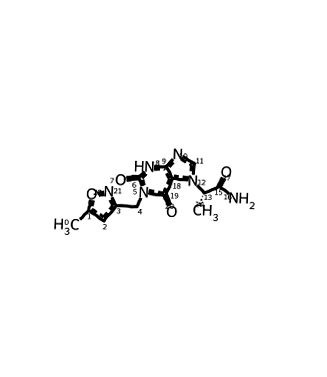 Cc1cc(Cn2c(=O)[nH]c3ncn([C@@H](C)C(N)=O)c3c2=O)no1